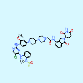 COc1cc(N2CCC(N3CCN(CC(=O)Nc4cccc5c4CN(C4CCC(=O)NC4=O)C5=O)CC3)CC2)ccc1Nc1ncc(Cl)c(Nc2ccccc2N(C)[SH]=O)n1